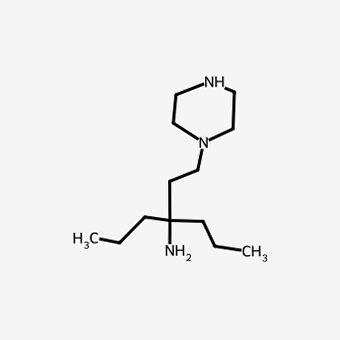 CCCC(N)(CCC)CCN1CCNCC1